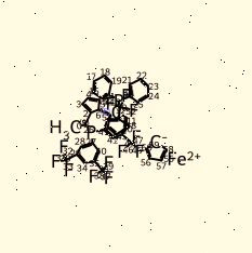 C[C@@H](C1=CC=C/C1=C1/C=CC=C[C-]1P(c1ccccc1)c1ccccc1)P(c1cc(C(F)(F)F)cc(C(F)(F)F)c1)c1cc(C(F)(F)F)cc(C(F)(F)F)c1.[Fe+2].c1cc[cH-]c1